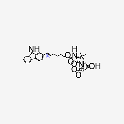 COC(=O)[C@@H]1C[C@@H](O)CN1C(=O)[C@@H](NC(=O)OCCCC/C=C/c1ccc2c(c1)C(=N)c1ccccc1-2)C(C)(C)C